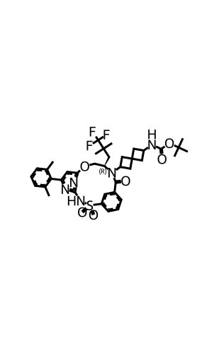 Cc1cccc(C)c1-c1cc2nc(n1)NS(=O)(=O)c1cccc(c1)C(=O)N(C1CC3(CC(NC(=O)OC(C)(C)C)C3)C1)[C@H](CC(C)(C)C(F)(F)F)CO2